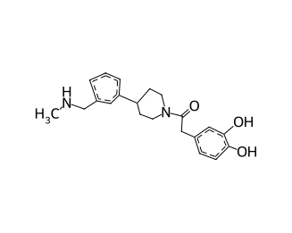 CNCc1cccc(C2CCN(C(=O)Cc3ccc(O)c(O)c3)CC2)c1